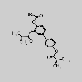 C=C(C)C(=O)Oc1ccc(-c2ccc(OC(=O)C(C)(C)C)c(OC(=O)C(=C)C)c2)cc1